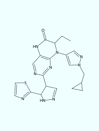 CCC1C(=O)Nc2cnc(C3C=NNC3c3nccs3)nc2N1c1cnn(CC2CC2)c1